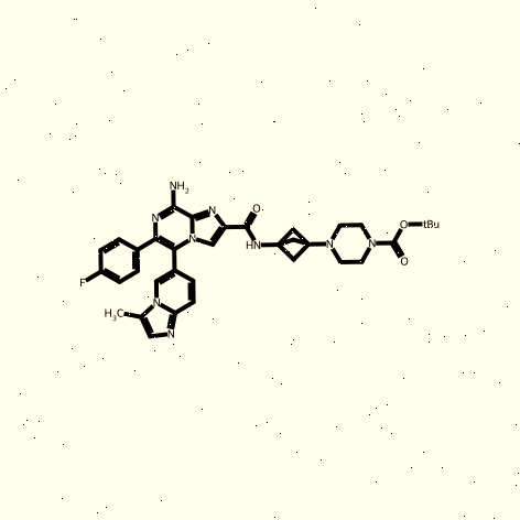 Cc1cnc2ccc(-c3c(-c4ccc(F)cc4)nc(N)c4nc(C(=O)NC56CC(N7CCN(C(=O)OC(C)(C)C)CC7)(C5)C6)cn34)cn12